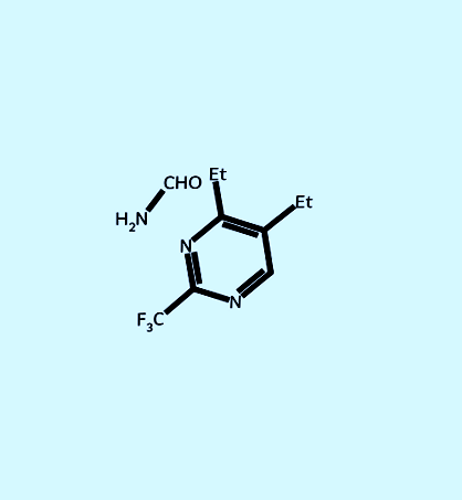 CCc1cnc(C(F)(F)F)nc1CC.NC=O